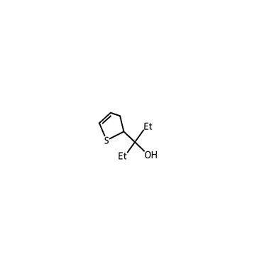 CCC(O)(CC)C1CC=CS1